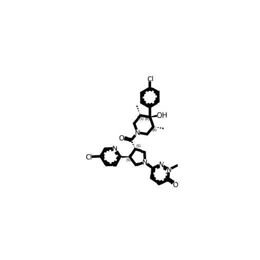 C[C@@H]1CN(C(=O)[C@@H]2CN(c3ccc(=O)n(C)n3)C[C@H]2c2ccc(Cl)cn2)C[C@H](C)[C@]1(O)c1ccc(Cl)cc1